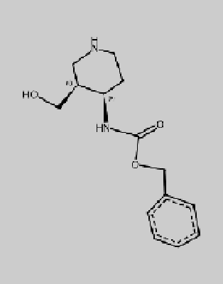 O=C(N[C@@H]1CCNC[C@@H]1CO)OCc1ccccc1